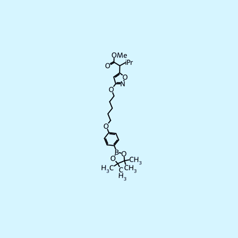 COC(=O)C(c1cc(OCCCCCOc2ccc(B3OC(C)(C)C(C)(C)O3)cc2)no1)C(C)C